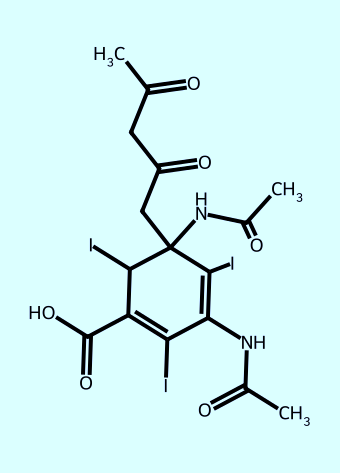 CC(=O)CC(=O)CC1(NC(C)=O)C(I)=C(NC(C)=O)C(I)=C(C(=O)O)C1I